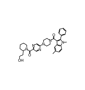 Cc1ccc2c(c1)c(C(=O)N1CCN(c3cnc(C(=O)N4CCCCC4CCO)cn3)CC1)c(-c1ccccc1)n2C